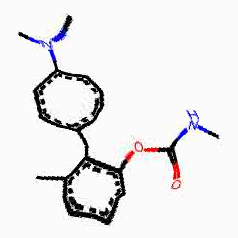 CNC(=O)Oc1cccc(C)c1-c1ccc(N(C)C)cc1